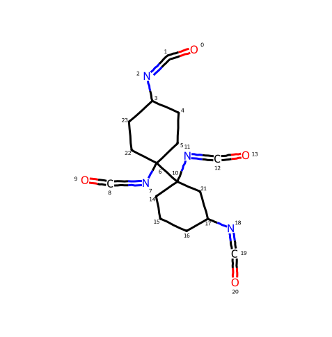 O=C=NC1CCC(N=C=O)(C2(N=C=O)CCCC(N=C=O)C2)CC1